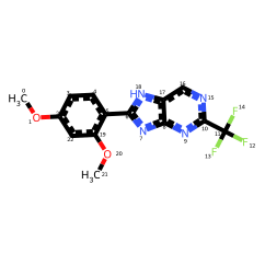 COc1ccc(-c2nc3nc(C(F)(F)F)ncc3[nH]2)c(OC)c1